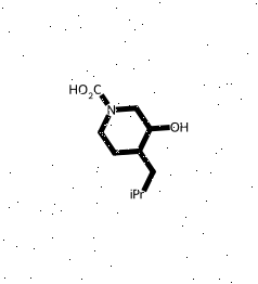 CC(C)CC1CCN(C(=O)O)CC1O